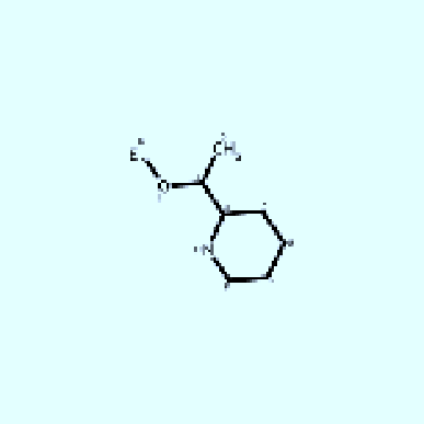 CCOC(C)C1CCCC[N]1